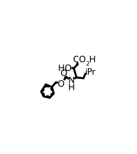 CC(C)CC(NC(=O)OCc1ccccc1)C(O)CC(=O)O